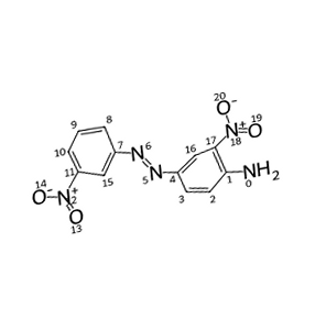 Nc1ccc(N=Nc2cccc([N+](=O)[O-])c2)cc1[N+](=O)[O-]